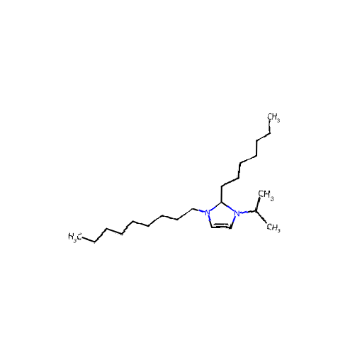 CCCCCCCCCN1C=CN(C(C)C)C1CCCCCCC